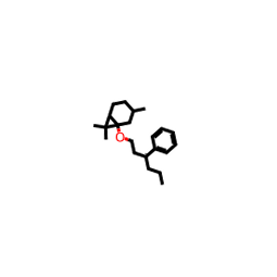 CCC[C](CCOC12CC(C)CCC1C2(C)C)c1ccccc1